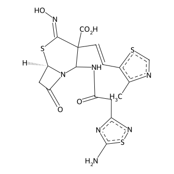 Cc1ncsc1C=CC1(C(=O)O)C(=NO)S[C@@H]2CC(=O)N2C1NC(=O)Cc1nsc(N)n1